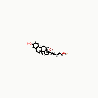 C[C@]12CC[C@@H]3c4ccc(O)cc4CC[C@H]3[C@@H]1CC[C@@]2(O)C#CCCCOP